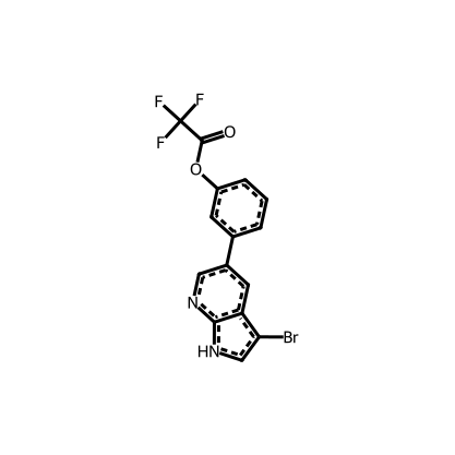 O=C(Oc1cccc(-c2cnc3[nH]cc(Br)c3c2)c1)C(F)(F)F